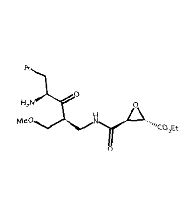 CCOC(=O)[C@H]1O[C@@H]1C(=O)NC[C@@H](COC)C(=O)[C@@H](N)CC(C)C